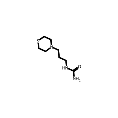 NC(=O)NCCCN1CCSCC1